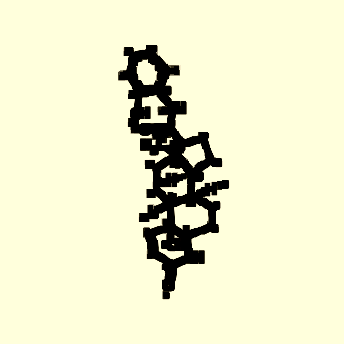 C[C@]12C=CC(=O)NC1CC[C@@H]1[C@H]2CC[C@]2(C)C(C(=O)Nc3ccccc3O)CC[C@@H]12